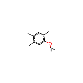 Cc1cc(C)c(OC(C)C)cc1C